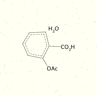 CC(=O)Oc1ccccc1C(=O)O.O